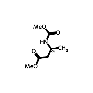 COC(=O)C[C@H](C)NC(=O)OC